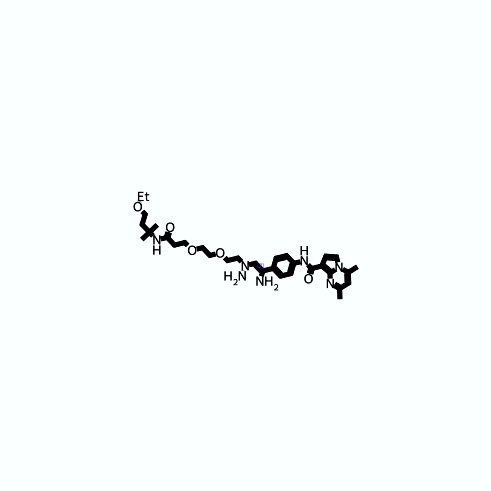 CCOCCC(C)(C)NC(=O)CCOCCOCCN(N)/C=C(\N)c1ccc(NC(=O)c2ccn3c(C)cc(C)nc23)cc1